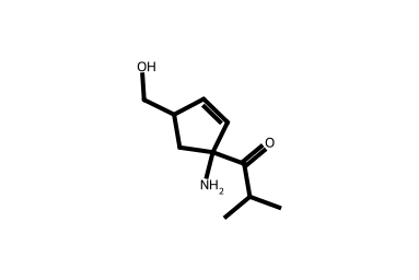 CC(C)C(=O)C1(N)C=CC(CO)C1